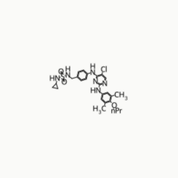 CCCOc1c(C)cc(Nc2ncc(Cl)c(Nc3ccc(CNS(=O)(=O)NC4CC4)cc3)n2)cc1C